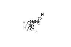 Cc1ncc(CNC(=O)c2ccc(C#N)cc2)c2c1OC(C)(C)OC2